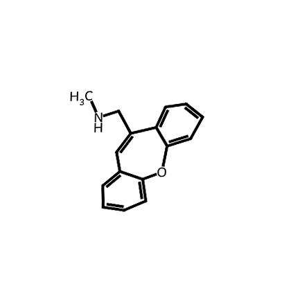 CNCC1=Cc2ccccc2Oc2ccccc21